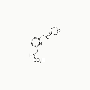 O=C(O)NCc1cccc(CO[C@H]2CCOC2)n1